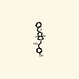 Oc1ccc([C@H](O)CN2C[C@@H]3C[C@@](F)(Cc4ccccc4)C[C@@H]3C2)cc1